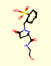 O=C(NCCO)C1=NN(Cc2ccccc2S(=O)(=O)O)C(=O)C1